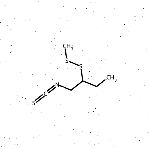 CCC(CN=C=S)SSC